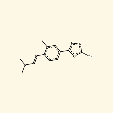 Cc1cc(-c2nnc(C(C)(C)C)o2)ccc1N=CN(C)C